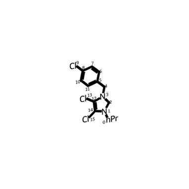 [CH2]CCN1CN(Cc2ccc(Cl)cc2)C(Cl)=C1Cl